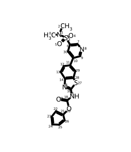 CN(C)S(=O)(=O)c1cncc(-c2ccc3nc(NC(=O)Oc4ccccc4)sc3c2)c1